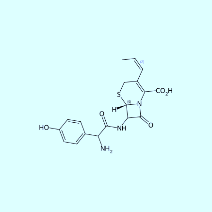 C/C=C\C1=C(C(=O)O)N2C(=O)C(NC(=O)C(N)c3ccc(O)cc3)[C@@H]2SC1